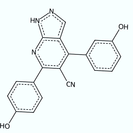 N#Cc1c(-c2ccc(O)cc2)nc2[nH]ncc2c1-c1cccc(O)c1